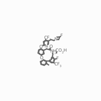 Cc1cccc2c1-c1cc(c(F)c(C(F)(F)F)c1)[C@@H](CC(=O)O)NC(=O)[C@@H](n1cc(CCN3CC(F)C3)c(C(F)(F)F)cc1=O)c1cccc(c1)O2